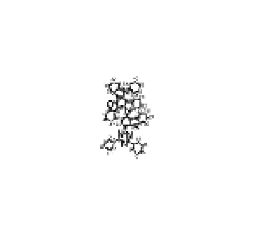 c1ccc(-c2nc(-c3ccccc3)nc(-c3ccc(-n4c5ccccc5c5c6c(c7ccccc7n6-c6ccccc6)c6oc7ccccc7c6c54)c4c3sc3ccccc34)n2)cc1